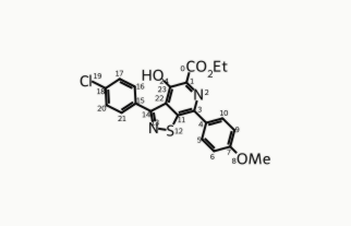 CCOC(=O)c1nc(-c2ccc(OC)cc2)c2snc(-c3ccc(Cl)cc3)c2c1O